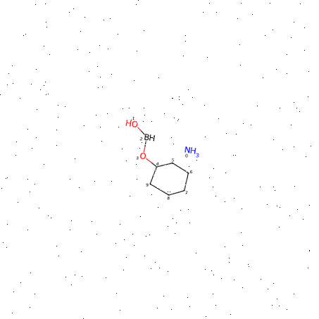 N.OBOC1CCCCC1